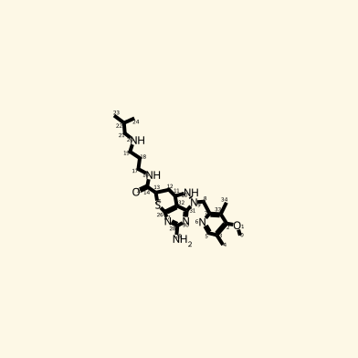 COc1c(C)cnc(CN2NC3CC(C(=O)NCCCNCC(C)C)Sc4nc(N)nc2c43)c1C